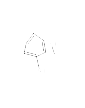 FC(F)(F)S.Nc1ccccc1